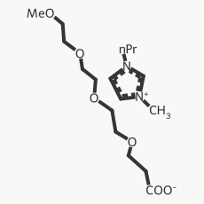 CCCn1cc[n+](C)c1.COCCOCCOCCOCCC(=O)[O-]